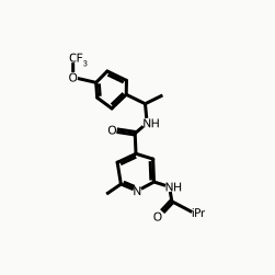 Cc1cc(C(=O)NC(C)c2ccc(OC(F)(F)F)cc2)cc(NC(=O)C(C)C)n1